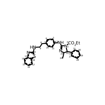 CCOC(=O)N1C(Nc2ccc(CCNc3nc4ccccc4s3)cc2)=NC(C)C1c1ccccc1